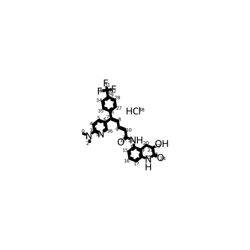 CN(C)c1ccc(/C(=C\C=C\C(=O)Nc2cccc3c2CC(O)C(=O)N3)c2ccc(C(F)(F)F)cc2)cn1.Cl